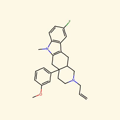 C=CCN1CCC2(c3cccc(OC)c3)Cc3c(c4cc(F)ccc4n3C)CC2C1